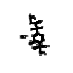 CC(C)(C(=O)CN)c1ccc(S(N)(=O)=O)c(Cl)c1.Cl